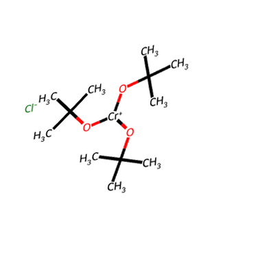 CC(C)(C)[O][Cr+]([O]C(C)(C)C)[O]C(C)(C)C.[Cl-]